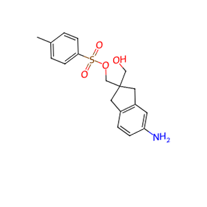 Cc1ccc(S(=O)(=O)OCC2(CO)Cc3ccc(N)cc3C2)cc1